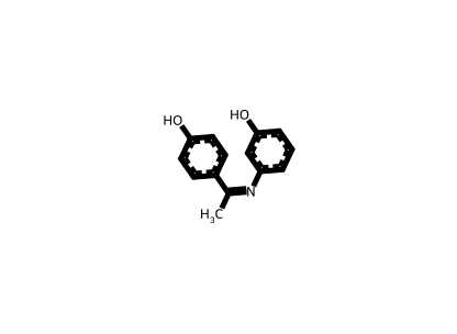 CC(=Nc1cccc(O)c1)c1ccc(O)cc1